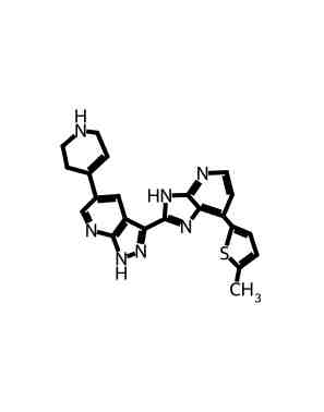 Cc1ccc(-c2ccnc3[nH]c(-c4n[nH]c5ncc(C6=CCNCC6)cc45)nc23)s1